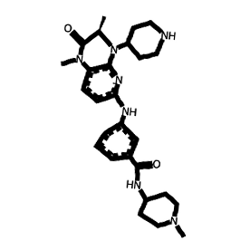 C[C@@H]1C(=O)N(C)c2ccc(Nc3cccc(C(=O)NC4CCN(C)CC4)c3)nc2N1C1CCNCC1